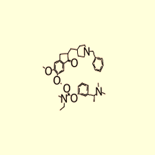 CCN(C)C(=O)Oc1cccc([C@H](C)N(C)C)c1.COc1cc2c(cc1OC)C(=O)C(CC1CCN(Cc3ccccc3)CC1)C2